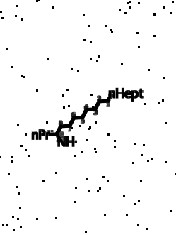 CCCCCCCCCCCCCCCC([NH])CCC